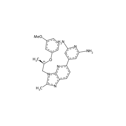 COc1cccc(O[C@H](C)Cn2c(C)nc3ccc(-c4cc(N)nc(N)c4)nc32)c1